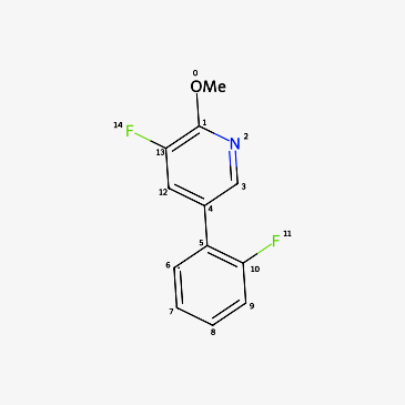 COc1ncc(-c2[c]cccc2F)cc1F